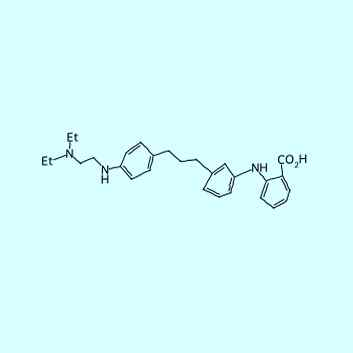 CCN(CC)CCNc1ccc(CCCc2cccc(Nc3ccccc3C(=O)O)c2)cc1